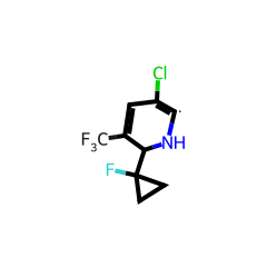 FC(F)(F)C1=CC(Cl)=[C]NC1C1(F)CC1